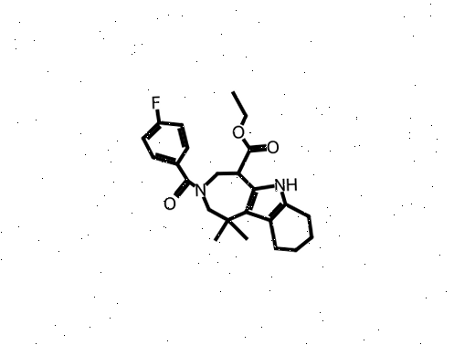 CCOC(=O)C1CN(C(=O)c2ccc(F)cc2)CC(C)(C)c2c1[nH]c1c2CCCC1